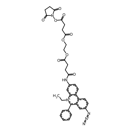 CC[n+]1c(-c2ccccc2)c2cc(N=[N+]=[N-])ccc2c2ccc(NC(=O)CCC(=O)OCCOC(=O)CCC(=O)ON3C(=O)CCC3=O)cc21